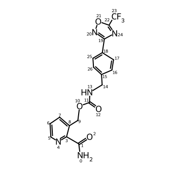 NC(=O)c1ncccc1COC(=O)NCc1ccc(-c2noc(C(F)(F)F)n2)cc1